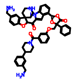 NCc1cccc(C2CCN(C(=O)c3cccc(OCC4(c5ccccc5)OB(c5cccc6[nH]c(C(=O)C7Oc8ccc(CN)cc8C78CCNCC8)cc56)OC4=O)c3)CC2)c1